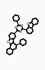 c1ccc(-c2nc(-c3ccc4oc5c6ccccc6cc(-c6ccccc6)c5c4c3)nc(-c3cccc4c3oc3ccccc34)n2)cc1